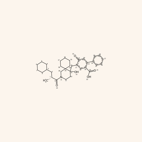 C[C@H](CC1CCCCC1)C(=O)N1CCC(O)(Cn2cc(C(=O)O)c(-c3ccccc3)cc2=O)C2(CCCCC2)C1